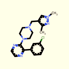 Cc1nn(C)cc1CN1CCN(c2nccnc2-c2cccc(Cl)c2)CC1